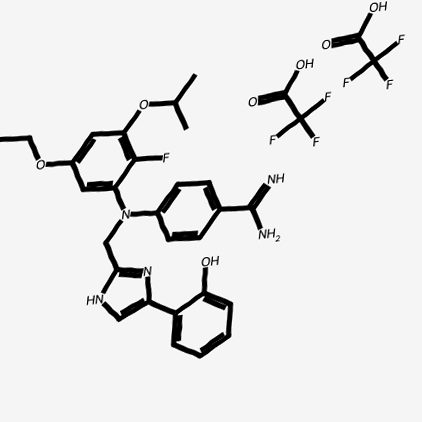 CCOc1cc(OC(C)C)c(F)c(N(Cc2nc(-c3ccccc3O)c[nH]2)c2ccc(C(=N)N)cc2)c1.O=C(O)C(F)(F)F.O=C(O)C(F)(F)F